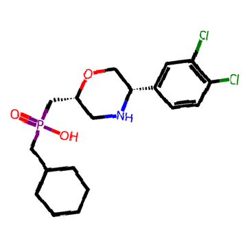 O=P(O)(CC1CCCCC1)C[C@H]1CN[C@@H](c2ccc(Cl)c(Cl)c2)CO1